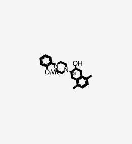 COc1ccccc1N1CCN([C@H]2Cc3c(C)ccc(C)c3C[C@@H]2O)CC1